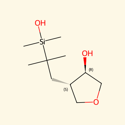 CC(C)(C[C@H]1COC[C@@H]1O)[Si](C)(C)O